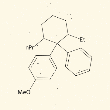 CCCC1CCCC(CC)C1(c1ccccc1)c1ccc(OC)cc1